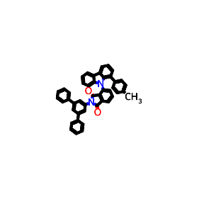 Cc1ccc(-c2cccc3c4ccccc4n(-c4cccc5c4C(=O)N(c4cc(-c6ccccc6)cc(-c6ccccc6)c4)C5=O)c23)cc1